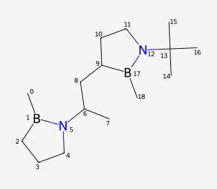 CB1CCCN1C(C)CC1CCN(C(C)(C)C)B1C